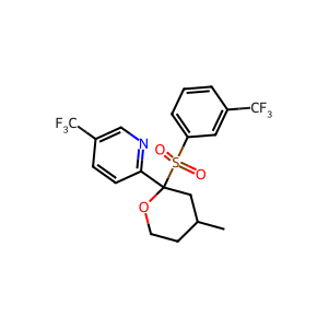 CC1CCOC(c2ccc(C(F)(F)F)cn2)(S(=O)(=O)c2cccc(C(F)(F)F)c2)C1